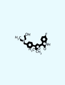 CCN(CCO)Cc1ccc(C2=CC(=C3C(=O)Nc4cc(F)ccc43)OC2(C)C)cc1